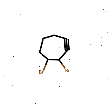 BrC1C#CCCCC1Br